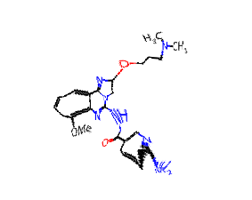 COc1cccc2c1N=C(NC(=O)c1ccc(N)nc1)N1CC(OCCCN(C)C)N=C21